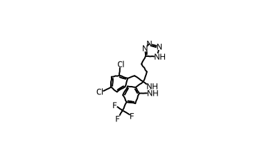 FC(F)(F)c1ccc2c(c1)NNC2(CCc1nnn[nH]1)Cc1ccc(Cl)cc1Cl